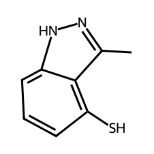 Cc1n[nH]c2cccc(S)c12